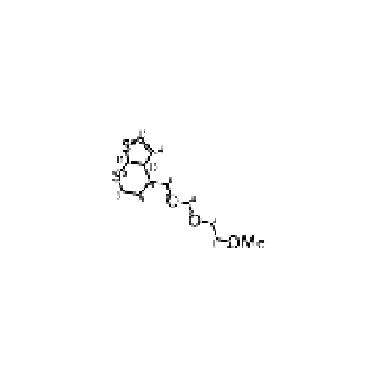 COCCOCOCC1CCSc2sccc21